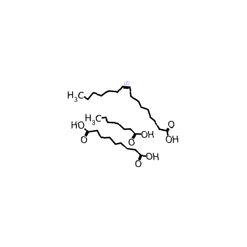 CCCCCC/C=C\CCCCCCCC(=O)O.CCCCCCC(=O)O.O=C(O)CCCCCCCC(=O)O